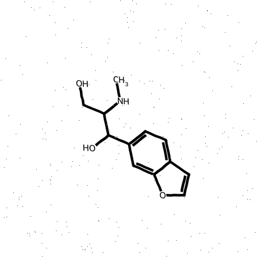 CNC(CO)C(O)c1ccc2ccoc2c1